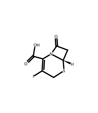 O=C(O)C1=C(I)CS[C@H]2CC(=O)N12